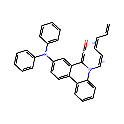 C=C/C=C\C=C/N1C(=C=O)c2cc(N(c3ccccc3)c3ccccc3)ccc2-c2ccccc21